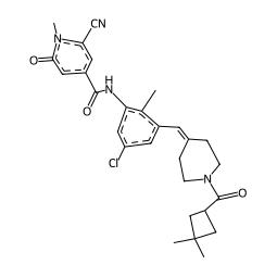 Cc1c(C=C2CCN(C(=O)C3CC(C)(C)C3)CC2)cc(Cl)cc1NC(=O)c1cc(C#N)n(C)c(=O)c1